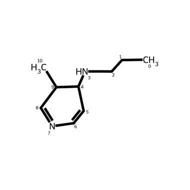 CCCNC1C=CN=CC1C